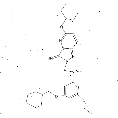 CCOc1cc(OCC2CCCCC2)cc(C(=O)Cn2nc3ccc(OC(CC)CC)nn3c2=N)c1